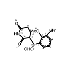 COc1c(C(C)C)cccc1N(C=O)C1CCC(=O)NC1=O